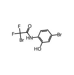 O=C(Nc1ccc(Br)cc1O)C(F)(F)Br